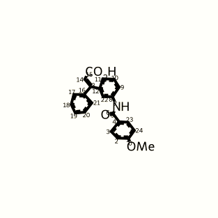 COc1ccc(C(=O)Nc2cccc(/C(=C\C(=O)O)c3ccccc3)c2)cc1